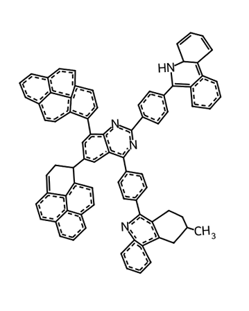 CC1CCc2c(-c3ccc(-c4nc(-c5ccc(C6=c7ccccc7=C7C=CC=CC7N6)cc5)nc5c(-c6ccc7ccc8cccc9ccc6c7c89)cc(C6CC=c7ccc8cccc9ccc6c7c98)cc45)cc3)nc3ccccc3c2C1